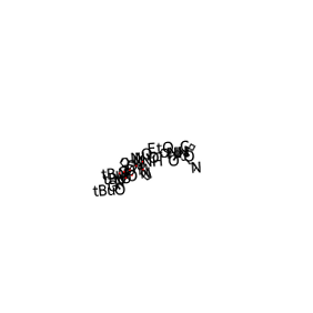 CCOC(=O)C1(C(=O)N[C@@H](CCCCN(C)C)C(=O)Nc2ccc(COC(=O)Nc3nnc(-c4ccccc4OP(=O)(OC(C)(C)C)OC(C)(C)C)cc3N3CC4CCC(C3)N4c3ccnc(OCCN4CCN(C(=O)OC(C)(C)C)C[C@H]4C)c3)cc2)CCC1